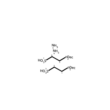 CCCCCCCCCCCCS(=O)(=O)O.CCCCCCCCCCCCS(=O)(=O)O.N.N